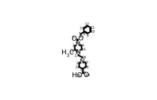 C[C@H]1CN(C(=O)OCc2ccccc2)CCN1CCN1CCC(C(=O)O)CC1